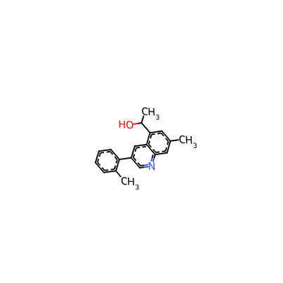 Cc1cc(C(C)O)c2cc(-c3ccccc3C)cnc2c1